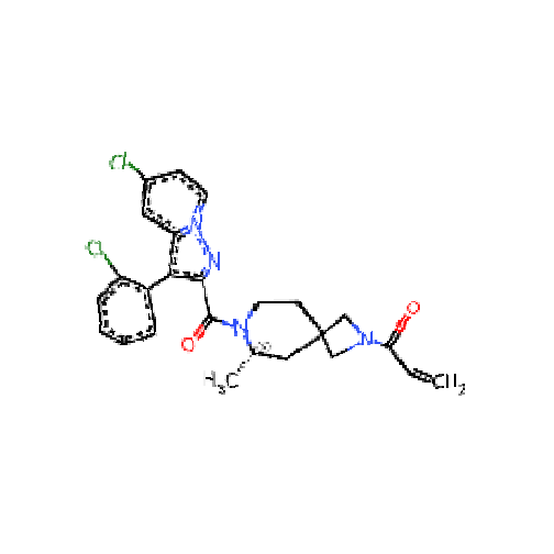 C=CC(=O)N1CC2(CCN(C(=O)c3nn4ccc(Cl)cc4c3-c3ccccc3Cl)[C@@H](C)C2)C1